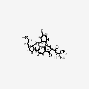 CC(C)(C)[C@@H](NC(=O)c1cn(-c2ncc(F)cc2F)c2nc(N3CCN(CCO)C3=O)ccc2c1=O)C(F)(F)F